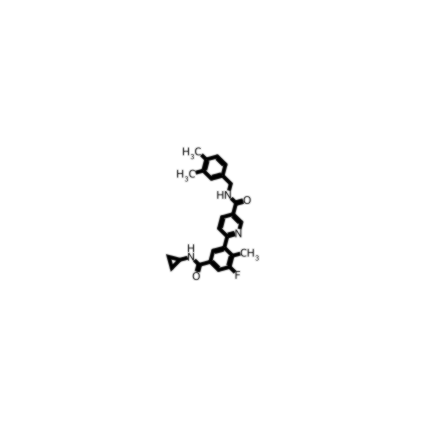 Cc1ccc(CNC(=O)c2ccc(-c3cc(C(=O)NC4CC4)cc(F)c3C)nc2)cc1C